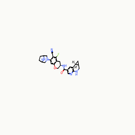 N#Cc1c(N2CC3CCC(C2)N3)cc2c(c1F)C[C@@H](NC(=O)c1cnc3c(c1)[C@H]1C[C@H]1CN3)CO2